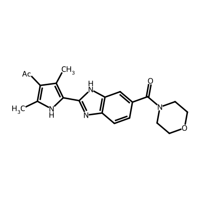 CC(=O)c1c(C)[nH]c(-c2nc3ccc(C(=O)N4CCOCC4)cc3[nH]2)c1C